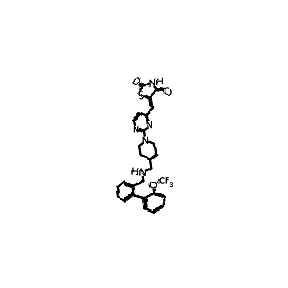 O=C1NC(=O)/C(=C/c2ccnc(N3CCC(CNCc4ccccc4-c4ccccc4OC(F)(F)F)CC3)n2)S1